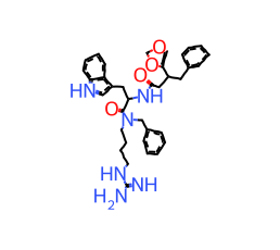 N=C(N)NCCCCN(Cc1ccccc1)C(=O)C(Cc1c[nH]c2ccccc12)NC(=O)CC(Cc1ccccc1)C1=COCO1